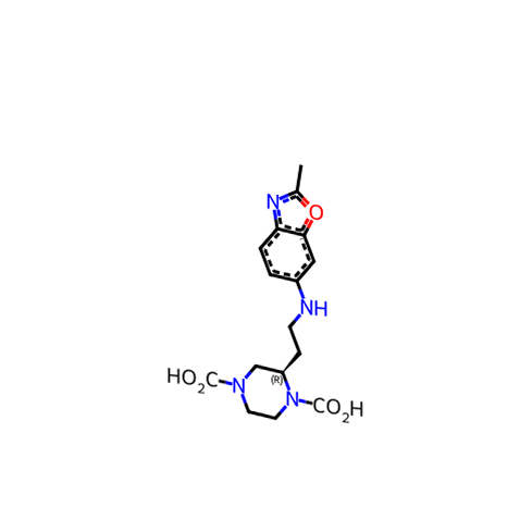 Cc1nc2ccc(NCC[C@@H]3CN(C(=O)O)CCN3C(=O)O)cc2o1